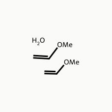 C=COC.C=COC.O